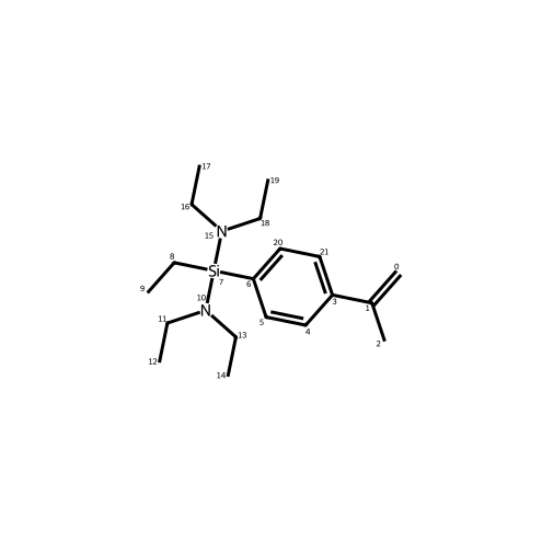 C=C(C)c1ccc([Si](CC)(N(CC)CC)N(CC)CC)cc1